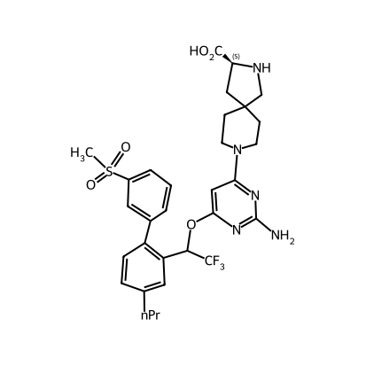 CCCc1ccc(-c2cccc(S(C)(=O)=O)c2)c(C(Oc2cc(N3CCC4(CC3)CN[C@H](C(=O)O)C4)nc(N)n2)C(F)(F)F)c1